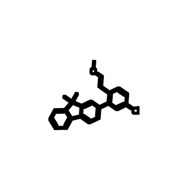 COC=Cc1ccc(Cl)cc1-c1ccc2c(c1)C(C)(C)c1ccccc1-2